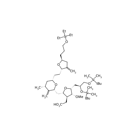 C=C1C[C@H](CCCO[Si](CC)(CC)CC)O[C@H]1CC[C@H]1C[C@@H](C)C(=C)[C@@H](C[C@@H]2O[C@H](C[C@@H](CO[Si](C)(C)C(C)(C)C)O[Si](C)(C)C(C)(C)C)[C@H](OC)[C@H]2CC(=O)O)O1